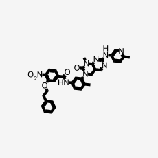 Cc1ccc(NC2=NC3C(C=N2)CN(c2cc(NC(=O)c4ccc([N+](=O)[O-])c(OCCc5ccccc5)c4)ccc2C)C(=O)N3C)cn1